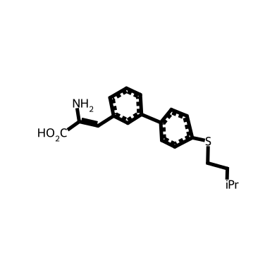 CC(C)CCSc1ccc(-c2cccc(C=C(N)C(=O)O)c2)cc1